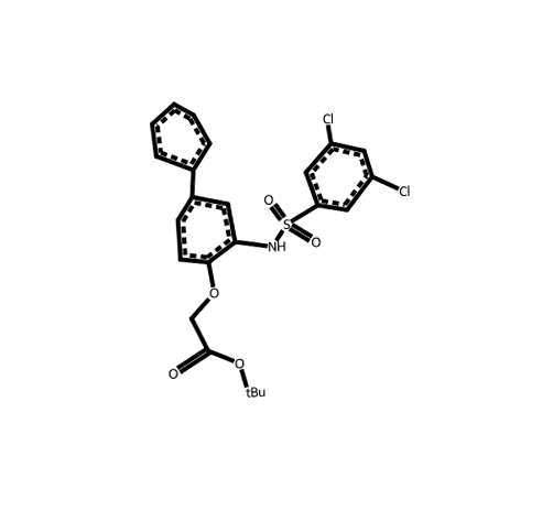 CC(C)(C)OC(=O)COc1ccc(-c2ccccc2)cc1NS(=O)(=O)c1cc(Cl)cc(Cl)c1